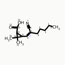 CCCCC/C(C#N)=C/C1C(C(=O)O)C1(C)C